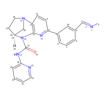 C/N=C/c1cccc(-c2ccc3c(n2)N(C(=O)Nc2ccccn2)[C@H]2CCN3C2)c1